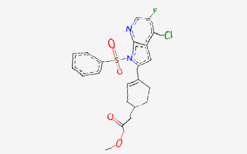 COC(=O)CC1CC=C(c2cc3c(Cl)c(F)cnc3n2S(=O)(=O)c2ccccc2)CC1